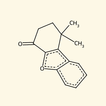 CC1(C)CCC(=O)c2oc3ccccc3c21